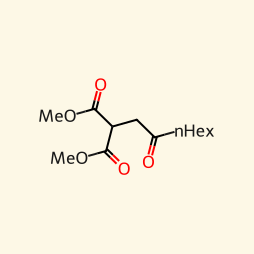 CCCCCCC(=O)CC(C(=O)OC)C(=O)OC